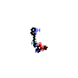 O=C(O)C(c1cnccc1COC1CCC1)N1CCC(C(F)(F)CCCCc2ccc3c(n2)NCCC3)C1